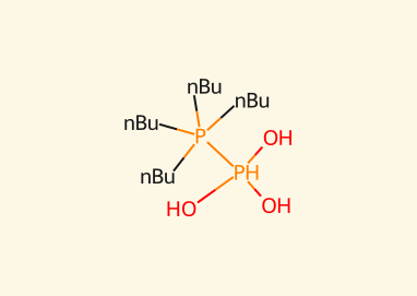 CCCCP(CCCC)(CCCC)(CCCC)[PH](O)(O)O